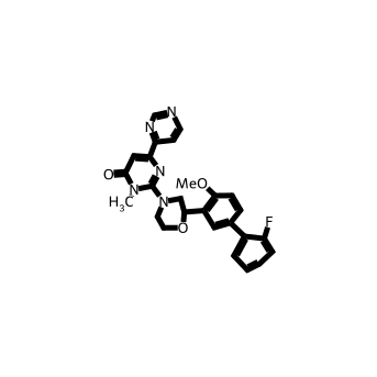 COc1ccc(-c2ccccc2F)cc1C1CN(c2nc(-c3ccncn3)cc(=O)n2C)CCO1